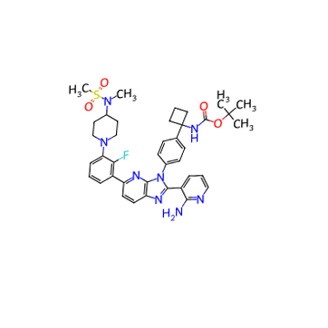 CN(C1CCN(c2cccc(-c3ccc4nc(-c5cccnc5N)n(-c5ccc(C6(NC(=O)OC(C)(C)C)CCC6)cc5)c4n3)c2F)CC1)S(C)(=O)=O